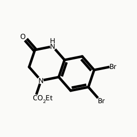 CCOC(=O)N1CC(=O)Nc2cc(Br)c(Br)cc21